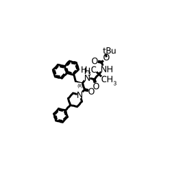 CC(C)(C)OC(=O)NC(C)(C)C(=O)N[C@H](Cc1cccc2ccccc12)C(=O)N1CCC(c2ccccc2)CC1